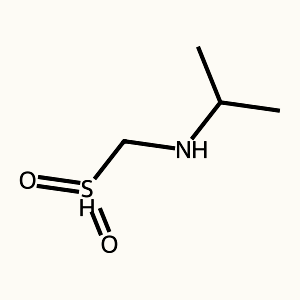 CC(C)NC[SH](=O)=O